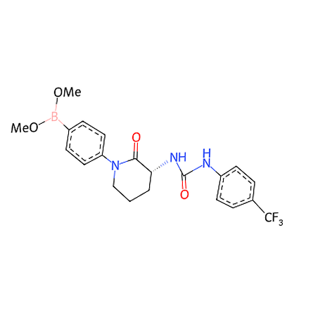 COB(OC)c1ccc(N2CCC[C@@H](NC(=O)Nc3ccc(C(F)(F)F)cc3)C2=O)cc1